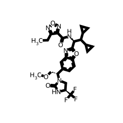 CCc1nonc1C(=O)N[C@H](c1nc2cc([C@@H](COC)N3C[C@@H](C(F)(F)F)NC3=O)ccc2o1)C(C1CC1)C1CC1